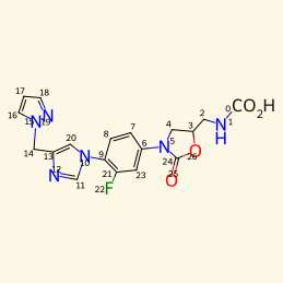 O=C(O)NCC1CN(c2ccc(-n3cnc(Cn4cccn4)c3)c(F)c2)C(=O)O1